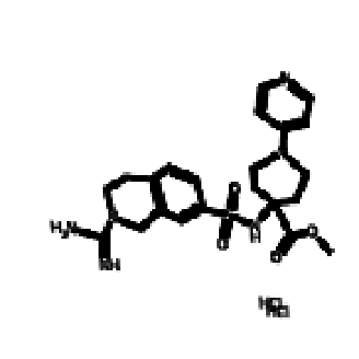 COC(=O)C1(NS(=O)(=O)c2ccc3c(c2)CN(C(=N)N)CC3)CCN(c2ccncc2)CC1.Cl.Cl